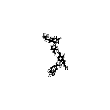 Cc1nc(N2CCC3(CCN(Cc4ccc5c(cc(C#N)n5C[C@H](C)N5CCN(S(C)(=O)=O)CC5)c4C)C3)C2)c2cc(CC(F)(F)F)sc2n1